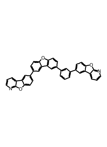 c1cc(-c2ccc3oc4ccc(-c5ccc6oc7ncccc7c6c5)cc4c3c2)cc(-c2ccc3oc4ncccc4c3c2)c1